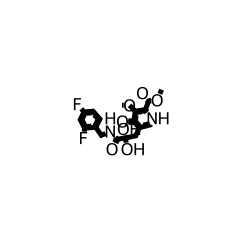 COC(=O)c1[nH]cc(CC(O)(O)C(=O)NCc2ccc(F)cc2F)c(=O)c1OC